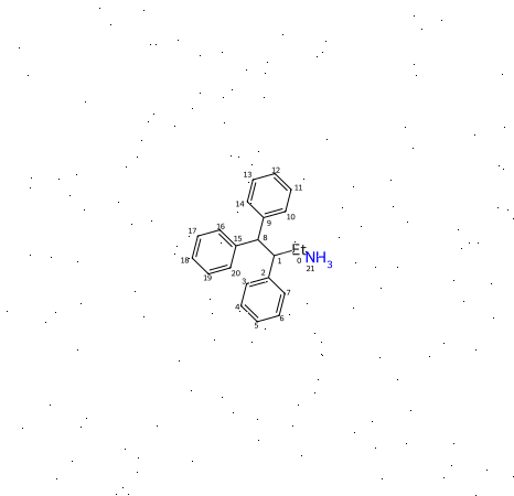 CCC(c1ccccc1)C(c1ccccc1)c1ccccc1.N